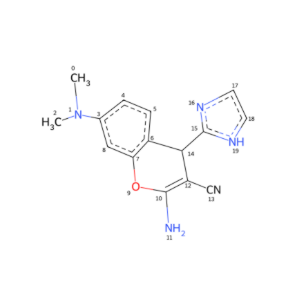 CN(C)c1ccc2c(c1)OC(N)=C(C#N)C2c1ncc[nH]1